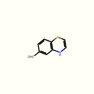 O=Cc1ccc2c(c1)NC=CS2